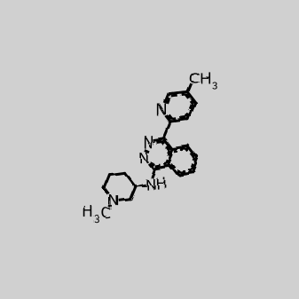 Cc1ccc(-c2nnc(N[C@@H]3CCCN(C)C3)c3ccccc23)nc1